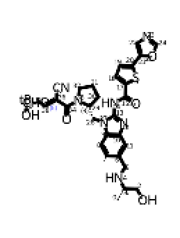 C[C@@H](CO)NCc1ccc2c(c1)nc(NC(=O)c1ccc(-c3cnco3)s1)n2C[C@H]1CCCN1C(=O)/C(C#N)=C/C(C)(C)C.O=CO